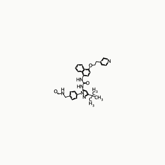 CC(C)(C)c1cc(NC(=O)Nc2ccc(OCCc3ccncc3)c3ccccc23)n(-c2ccc(CNC=O)cc2)n1